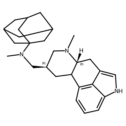 CN1C[C@H](CN(C)C23CC4CC(CC(C4)C2)C3)CC2c3cccc4[nH]cc(c34)C[C@H]21